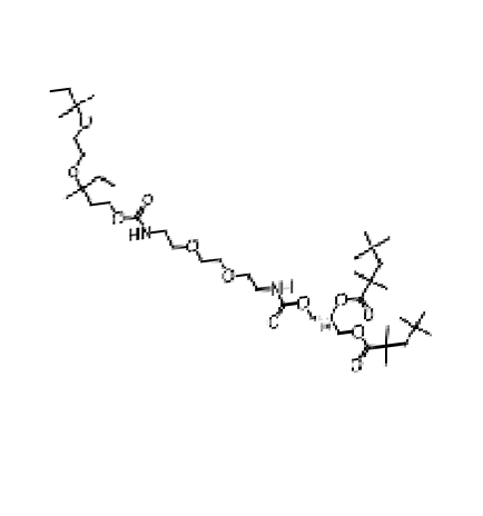 CCC(C)(C)OCCOC(C)(CC)CCOC(=O)NCCOCCOCCNC(=O)OC[C@@H](COC(=O)C(C)(C)CC(C)(C)C)OC(=O)C(C)(C)CC(C)(C)C